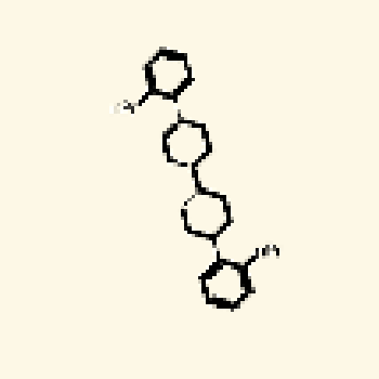 CCCc1ccccc1[C@H]1CC[C@H]([C@H]2CC[C@H](c3ccccc3CCC)CC2)CC1